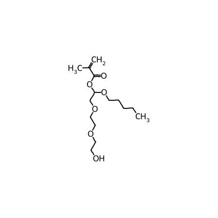 C=C(C)C(=O)OC(COCCOCCO)OCCCCC